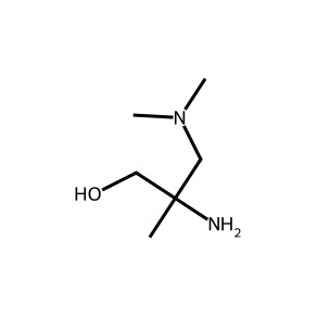 CN(C)CC(C)(N)CO